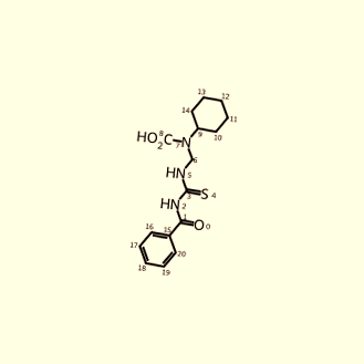 O=C(NC(=S)NCN(C(=O)O)C1CCCCC1)c1ccccc1